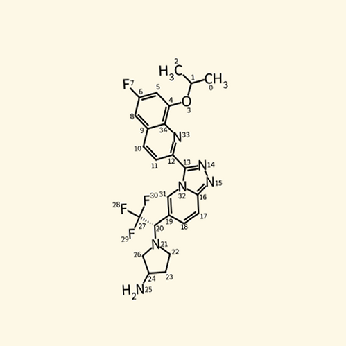 CC(C)Oc1cc(F)cc2ccc(-c3nnc4ccc([C@H](N5CCC(N)C5)C(F)(F)F)cn34)nc12